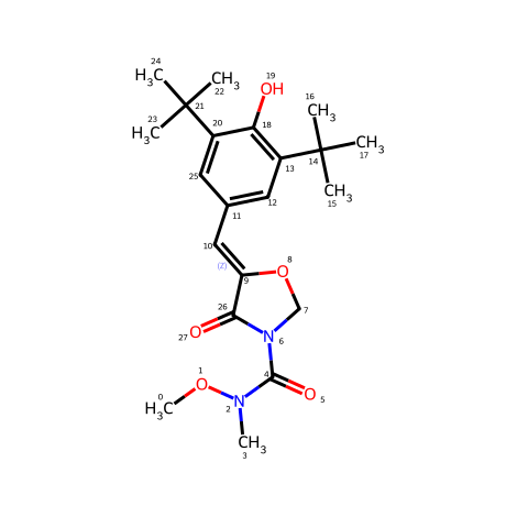 CON(C)C(=O)N1CO/C(=C\c2cc(C(C)(C)C)c(O)c(C(C)(C)C)c2)C1=O